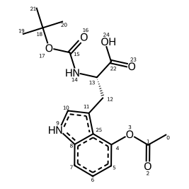 CC(=O)Oc1cccc2[nH]cc(C[C@H](NC(=O)OC(C)(C)C)C(=O)O)c12